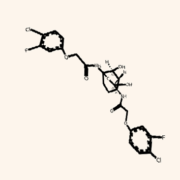 O=C(COc1ccc(Cl)c(F)c1)NC12CC[C@@](NC(=O)COc3ccc(Cl)c(F)c3)(C[C@@H]1O)[C@@H](O)C2